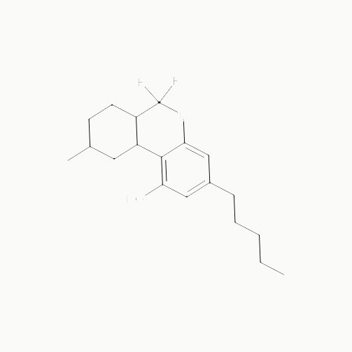 CCCCCc1cc(O)c2c(c1)OC(F)(F)C1CCC(C)CC21